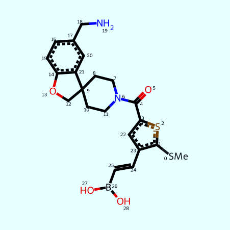 CSc1sc(C(=O)N2CCC3(CC2)COc2ccc(CN)cc23)cc1C=CB(O)O